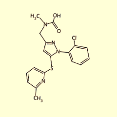 Cc1cccc(Sc2cc(CN(C)C(=O)O)nn2-c2ccccc2Cl)n1